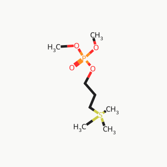 COP(=O)(OC)OCCCS(C)(C)C